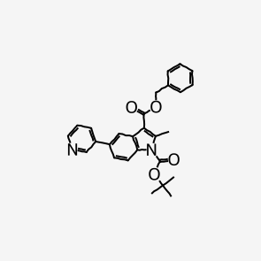 Cc1c(C(=O)OCc2ccccc2)c2cc(-c3cccnc3)ccc2n1C(=O)OC(C)(C)C